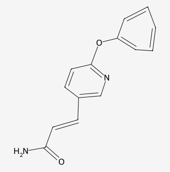 NC(=O)C=Cc1ccc(Oc2ccccc2)nc1